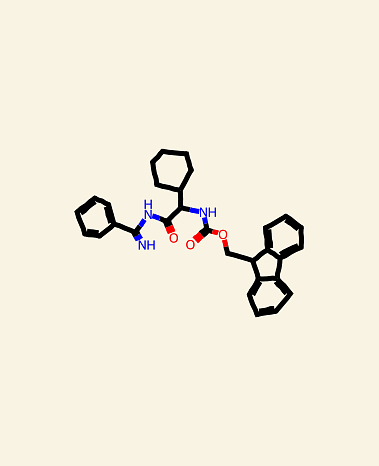 N=C(NC(=O)C(NC(=O)OCC1c2ccccc2-c2ccccc21)C1CCCCC1)c1ccccc1